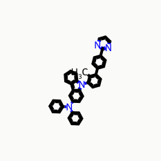 Cc1c(-c2ccc(-c3ncccn3)cc2)cccc1-n1c2ccccc2c2cc(N(c3ccccc3)c3ccccc3)ccc21